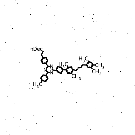 CCCCCCCCCCCCc1ccc(-c2nc(-c3ccc(C)cc3)nc(-c3ccc(-c4cc(C)c(CCCCc5cc(C)c(C)cc5C)cc4C)cc3)n2)cc1